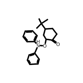 CC(C)(C)C1CCC(=O)C(O[SiH](c2ccccc2)c2ccccc2)C1